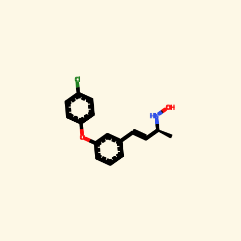 C[C@@H](/C=C/c1cccc(Oc2ccc(Cl)cc2)c1)NO